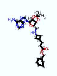 CC1(C)OC2[C@@H](O1)C(n1cnc3c(N)ncnc31)O[C@@H]2CNC1CC(CCC(=O)OCc2ccccc2)C1